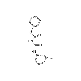 Cc1cccc(NC(=O)NC(=O)Oc2ccccc2)c1